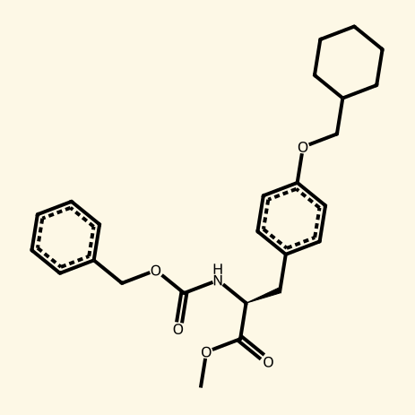 COC(=O)[C@H](Cc1ccc(OCC2CCCCC2)cc1)NC(=O)OCc1ccccc1